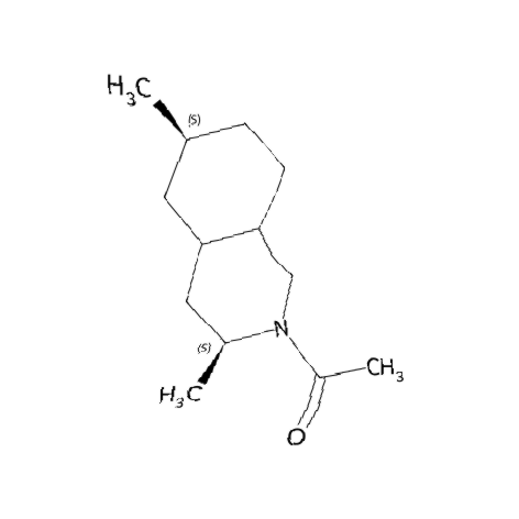 CC(=O)N1CC2CC[C@H](C)CC2C[C@@H]1C